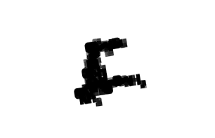 CC(C)C(NC(=O)CCOCCN)C(=O)N[C@@H](CCCNC(N)=O)C(=O)Nc1ccc(COC(=O)N(C)CCN(C)C(C)(C)C)cc1